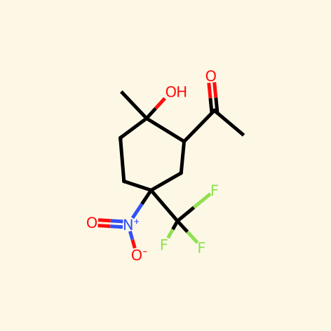 CC(=O)C1CC([N+](=O)[O-])(C(F)(F)F)CCC1(C)O